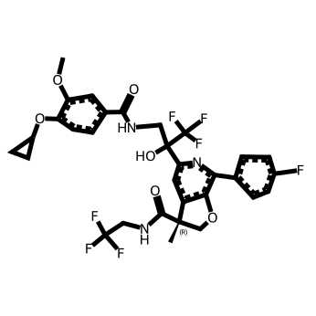 COc1cc(C(=O)NCC(O)(c2cc3c(c(-c4ccc(F)cc4)n2)OC[C@]3(C)C(=O)NCC(F)(F)F)C(F)(F)F)ccc1OC1CC1